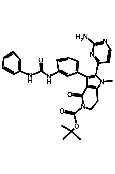 Cn1c2c(c(-c3cccc(NC(=O)Nc4ccccc4)c3)c1-c1ccnc(N)n1)C(=O)N(C(=O)OC(C)(C)C)CC2